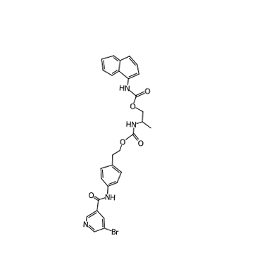 CC(COC(=O)Nc1cccc2ccccc12)NC(=O)OCCc1ccc(NC(=O)c2cncc(Br)c2)cc1